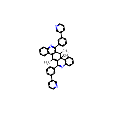 CC1=C2C(c3cccc(-c4cccnc4)c3)=Nc3ccccc3C2(C)C(C)c2c(-c3cccc(-c4cccnc4)c3)nc3ccccc3c21